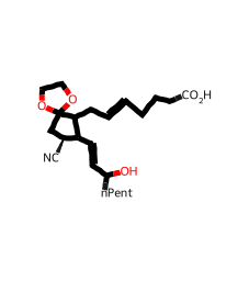 CCCCCC(O)/C=C/C1C(C/C=C/CCCC(=O)O)C2(C[C@@H]1C#N)OCCO2